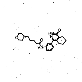 O=C(CCCCN1CCOCC1)Nc1cccc(-c2n[nH]c(=O)c3c2CCCC3)c1